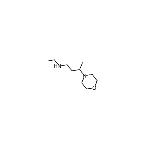 CCNCCC(C)N1CCOCC1